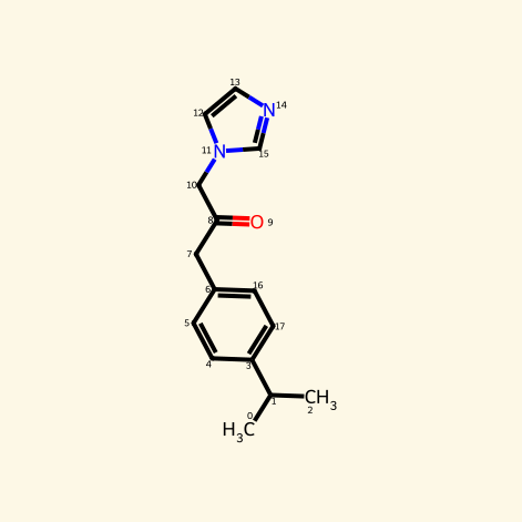 CC(C)c1ccc(CC(=O)Cn2ccnc2)cc1